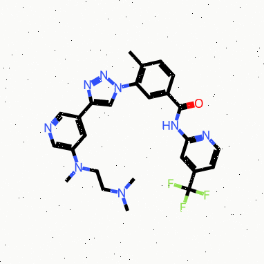 Cc1ccc(C(=O)Nc2cc(C(F)(F)F)ccn2)cc1-n1cc(-c2cncc(N(C)CCN(C)C)c2)nn1